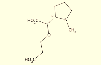 CN1CCC[C@H]1C(OCCC(=O)O)C(=O)O